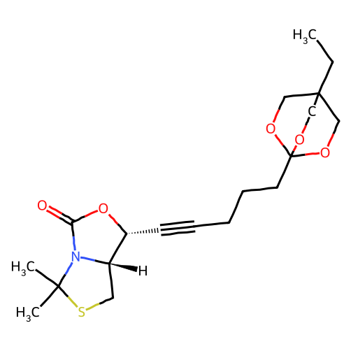 CCC12COC(CCCC#C[C@H]3OC(=O)N4[C@H]3CSC4(C)C)(OC1)OC2